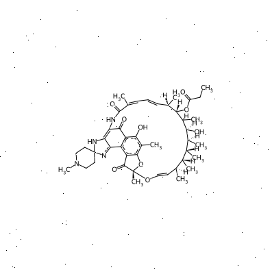 CCC(=O)O[C@@H]1[C@@H](C)[C@@H](O)[C@@H](C)[C@H](C)[C@H](C)[C@@H](C)/C=C/O[C@@]2(C)Oc3c(C)c(O)c4c(c3C2=O)C2=NC3(CCN(C)CC3)NC2=C(NC(=O)/C(C)=C\C=C\[C@@H]1C)C4=O